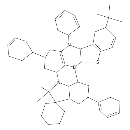 CC(C)(C)C1C=CC2=C(C1)C1C(S2)B2C3=C(CC(C4CC=CCC4)CC3N3C4C2CC(C2=CC=CCC2)CC4C2(CCCCC2)C3(C)C)N1C1C=CC=CC1